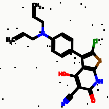 C=CCN(CC=C)c1ccc(-c2c(Cl)sc3[nH]c(=O)c(C#N)c(O)c23)cc1